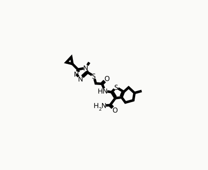 CC1CCc2c(sc(NC(=O)CSc3nnc(C4CC4)n3C)c2C(N)=O)C1